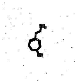 NCCC1=CCCC(O)C=C1